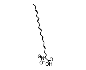 CCC=CCC=CCC=CCC=CCC=CCCC(C(=O)O)[N+](=O)[O-]